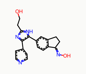 OCCc1nc(-c2ccncc2)c(-c2ccc3c(c2)CCC3=NO)[nH]1